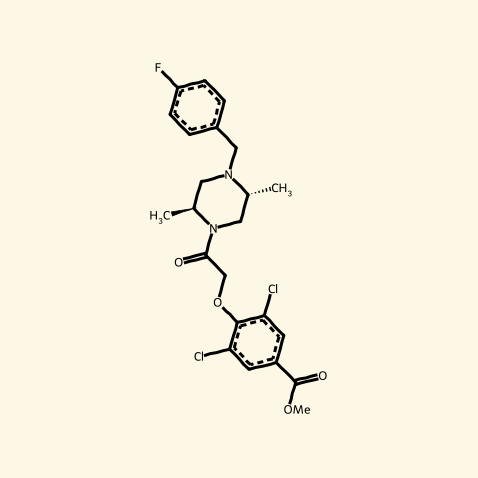 COC(=O)c1cc(Cl)c(OCC(=O)N2C[C@@H](C)N(Cc3ccc(F)cc3)C[C@@H]2C)c(Cl)c1